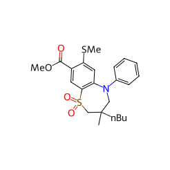 CCCCC1(C)CN(c2ccccc2)c2cc(SC)c(C(=O)OC)cc2S(=O)(=O)C1